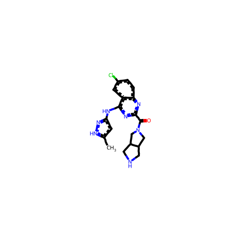 Cc1cc(Nc2nc(C(=O)N3CC4CNCC4C3)nc3ccc(Cl)cc23)n[nH]1